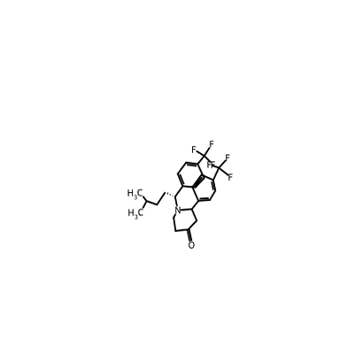 CC(C)CC[C@H](c1ccc(C(F)(F)F)cc1)N1CCC(=O)CC1c1ccc(C(F)(F)F)cc1